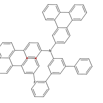 Fc1cccc(-c2cccc3cccc(-c4ccc(N(c5cc(-c6ccccc6)cc(-c6ccccc6)c5)c5ccc6c7ccccc7c7ccccc7c6c5)cc4)c23)c1